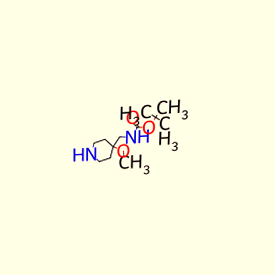 COC1(CNC(=O)OC(C)(C)C)CCNCC1